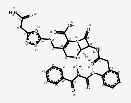 CN(C(=O)Nc1ccccc1CC(=O)NC1C(=O)N2C(C(=O)O)=C(CSc3nnc(CC(N)=O)o3)CS[C@H]12)C(=O)c1ccccc1